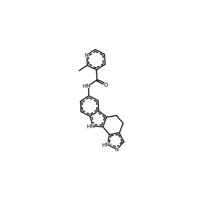 Cc1ncccc1C(=O)Nc1ccc2[nH]c3c(c2c1)CCc1cn[nH]c1-3